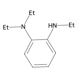 CCNc1ccccc1N(CC)CC